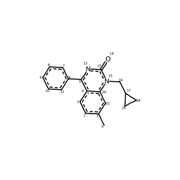 Cc1ccc2c(-c3ccccc3)nc(=O)n(CC3CC3)c2c1